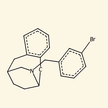 Brc1cccc(CN2CC3CCC2Cc2ccccc2C3)c1